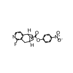 O=C(Oc1ccc([N+](=O)[O-])cc1)N1[C@H]2CC[C@@H]1c1ccnc(F)c1C2